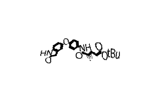 C[C@@H](CCC(=O)OC(C)(C)C)C(=O)Nc1ccc(Oc2ccc3c(c2)CC(=O)N3)cc1